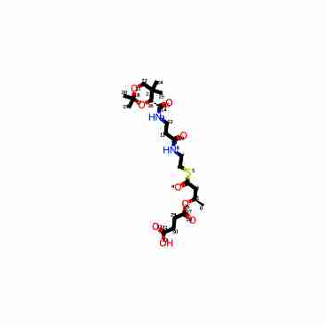 C[C@H](CC(=O)SCCNC(=O)CCNC(=O)[C@@H]1OC(C)(C)OCC1(C)C)OC(=O)CCC(=O)O